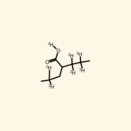 [2H]OC(=O)C(CC([2H])([2H])C)C([2H])([2H])C([2H])([2H])C